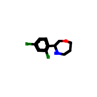 Clc1cc(Br)ccc1C1COCCCN1